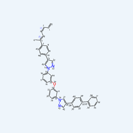 C=C/C=C\C=C(/C)c1ccc(-c2cnn(-c3cccc(Oc4cccc(-n5cc(-c6ccc(-c7ccccc7)cc6)cn5)c4)c3)c2)cc1